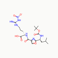 CC(C)C[C@H](NC(=O)OC(C)(C)C)c1nc(C(=O)N[C@@H](CCCNC(=N)N[N+](=O)[O-])C(=O)O)co1